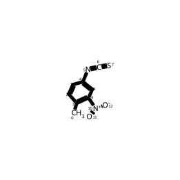 Cc1ccc(N=C=S)cc1[N+](=O)[O-]